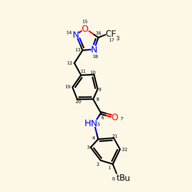 CC(C)(C)c1ccc(NC(=O)c2ccc(Cc3noc(C(F)(F)F)n3)cc2)cc1